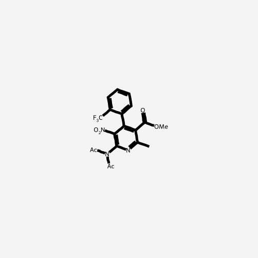 COC(=O)c1c(C)nc(N(C(C)=O)C(C)=O)c([N+](=O)[O-])c1-c1ccccc1C(F)(F)F